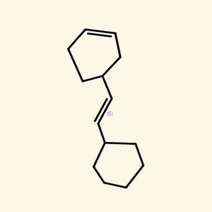 C1=CCC(/C=C/C2CCCCC2)CC1